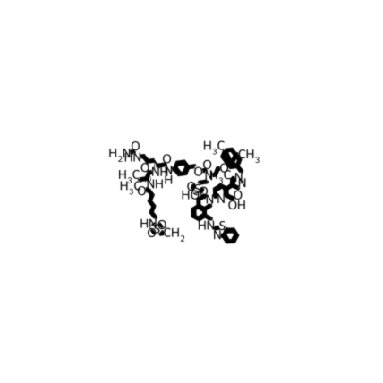 C=CS(=O)(=O)NCCCCCC(=O)N[C@H](C(=O)N[C@@H](CCCNC(N)=O)C(=O)Nc1ccc(COC(=O)N(CCOC23CC4(C)CC(C)(CC(Cn5ncc(-c6ccc(N7CCc8cccc(CNc9nc%10ccccc%10s9)c8C7)nc6C(=O)O)c5C)(C4)C2)C3)CCS(=O)(=O)O)cc1)C(C)C